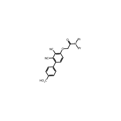 CC(C)N(C(=O)COc1ccc(-c2ccc(C(=O)O)cc2)c(C#N)c1C#N)C(C)C